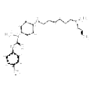 C=CCN(C)CCCCCCO[C@H]1CC[C@H](N(C)C(=O)Nc2ccc(C(F)(F)F)cc2)CC1